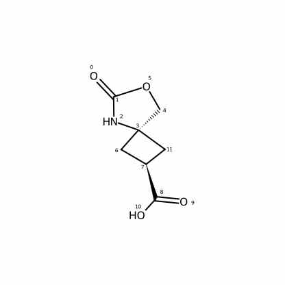 O=C1N[C@]2(CO1)C[C@H](C(=O)O)C2